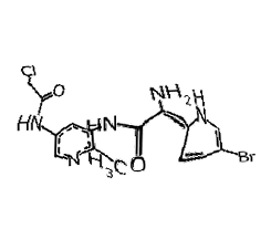 Cc1ncc(NC(=O)CCl)cc1NC(=O)/C(N)=C1\C=CC(Br)=CN1